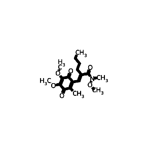 CCCC/C(=C\C1=C(C)C(=O)C(OC)=C(OC)C1=O)C(=O)N(C)OC